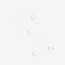 CC(C)(C)OC(=O)CCC(C(N)=O)C1CC2(CCN1C(=O)OC(C)(C)C)COc1c2cc(C#N)c2c1CNC2=O